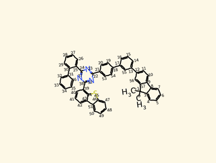 CC1(C)c2ccccc2-c2ccc(-c3cccc(-c4ccc(-c5nc(-c6ccccc6-c6ccccc6)nc(-c6cccc7c6sc6ccccc67)n5)cc4)c3)cc21